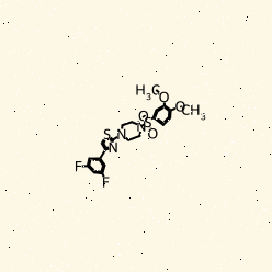 COc1ccc(S(=O)(=O)N2CCN(c3nc(-c4cc(F)cc(F)c4)cs3)CC2)cc1OC